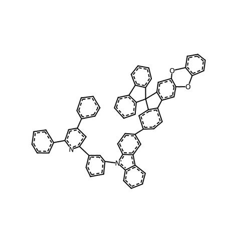 c1ccc(-c2cc(-c3ccccc3)nc(-c3cccc(-n4c5ccccc5c5cc(-c6ccc7c(c6)C6(c8ccccc8-c8ccccc86)c6cc8c(cc6-7)Oc6ccccc6O8)ccc54)c3)c2)cc1